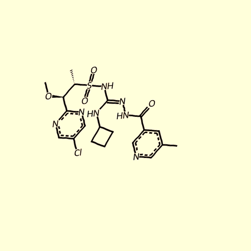 CO[C@H](c1ncc(Cl)cn1)[C@H](C)S(=O)(=O)N/C(=N/NC(=O)c1cncc(C)c1)NC1CCC1